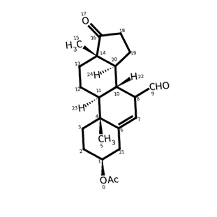 CC(=O)O[C@H]1CC[C@@]2(C)C(=CC(C=O)[C@@H]3[C@@H]2CC[C@]2(C)C(=O)CC[C@@H]32)C1